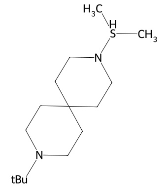 C[SH](C)N1CCC2(CC1)CCN(C(C)(C)C)CC2